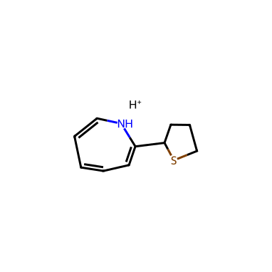 C1=CC=C(C2CCCS2)NC=C1.[H+]